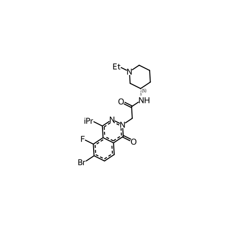 CCN1CCC[C@H](NC(=O)Cn2nc(C(C)C)c3c(F)c(Br)ccc3c2=O)C1